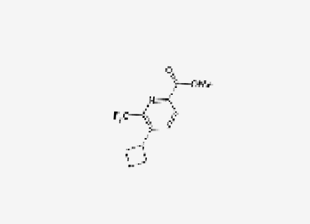 COC(=O)c1ccc(C2CCC2)c(C(F)(F)F)n1